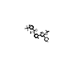 Cc1ccc(NC(=O)c2ccnc(C(F)(F)F)c2)cc1-c1cc(C2CCOCC2)c(OC(C)C)nn1